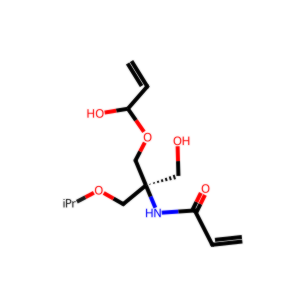 C=CC(=O)N[C@@](CO)(COC(C)C)COC(O)C=C